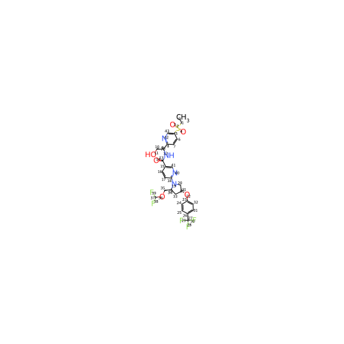 CCS(=O)(=O)c1ccc([C@H](CO)NC(=O)c2ccc(N3C[C@H](Oc4ccc(C(F)(F)F)cc4)C[C@H]3COC(F)F)nc2)nc1